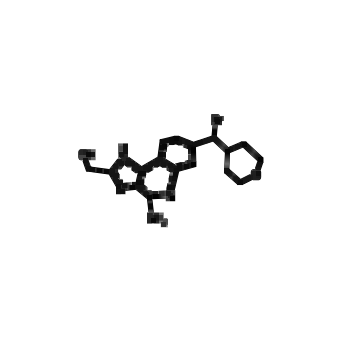 Nc1nc2cc(C(Br)C3CCOCC3)ccc2c2[nH]c(CO)nc12